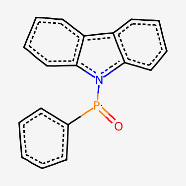 O=[P](c1ccccc1)n1c2ccccc2c2ccccc21